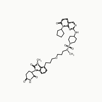 CN(CCCOCCCc1cccc2c1n(C)c(=O)n2C1CCC(=O)NC1=O)S(=O)(=O)N1CCC(Nc2ncc3ccc(=O)n(C4CCCC4)c3n2)CC1